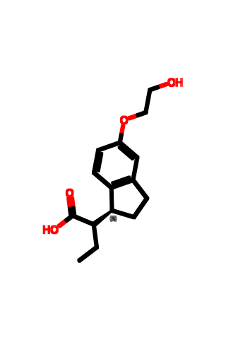 CCC(C(=O)O)[C@@H]1CCc2cc(OCCO)ccc21